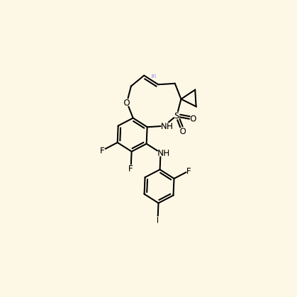 O=S1(=O)Nc2c(cc(F)c(F)c2Nc2ccc(I)cc2F)OC/C=C/CC12CC2